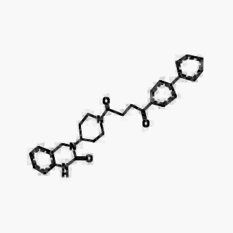 O=C(CCC(=O)N1CCC(N2Cc3ccccc3NC2=O)CC1)c1ccc(-c2ccccc2)cc1